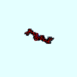 C=Cc1oc2c(-c3ccc4c(c3)C(C)(C)c3cc(-c5ccc6c(c5)C(CCCCCCCC)(CCCCCCCC)c5ccccc5-6)ccc3-4)cc3c(c2c1/C=C\C)-c1ccc(N(c2ccc4c(c2)C(C)(C)c2cc(-c5ccc6c(c5)C(C)(C)c5cc(-c7ccc8c(c7)C(CCCCCCCC)(CCCCCCCC)c7ccccc7-8)ccc5-6)c5oc6ccccc6c5c2-4)c2cccc4oc5ccccc5c24)cc1C3(C)C